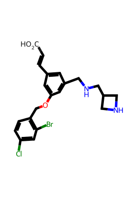 O=C(O)C=Cc1cc(CNCC2CNC2)cc(OCc2ccc(Cl)cc2Br)c1